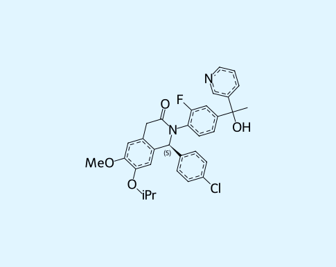 COc1cc2c(cc1OC(C)C)[C@H](c1ccc(Cl)cc1)N(c1ccc(C(C)(O)c3cccnc3)cc1F)C(=O)C2